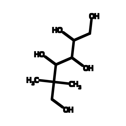 CC(C)(CO)C(O)C(O)C(O)CO